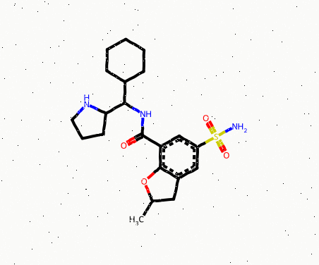 CC1Cc2cc(S(N)(=O)=O)cc(C(=O)NC(C3CCCCC3)C3CCCN3)c2O1